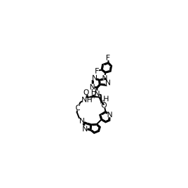 O=C1NCCCCn2cc3c(cccc3n2)-c2ccnc(c2)O[C@H]2C[C@@H]1N(c1ncnc3c1cnn3-c1ccc(F)cc1F)C2